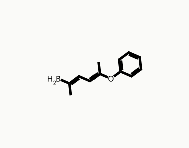 B/C(C)=C/C=C(\C)Oc1ccccc1